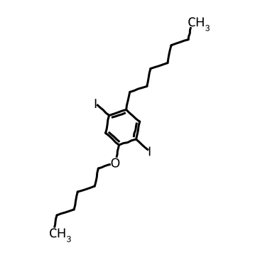 CCCCCCCc1cc(I)c(OCCCCCC)cc1I